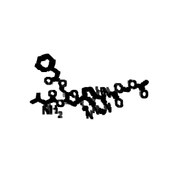 CC(=O)OCOC(=O)Nc1ncnn2c([C@@]3(C#N)C[C@H](OC(=O)[C@@H](N)C(C)C)[C@@H](COC(=O)Cc4ccccc4)O3)ccc12